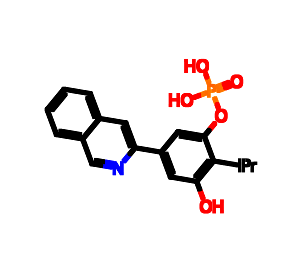 CC(C)c1c(O)cc(-c2cc3ccccc3cn2)cc1OP(=O)(O)O